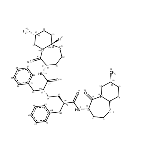 O=C(N[C@H]1CCSC2CC[C@@H](C(F)(F)F)CN2C1=O)[C@H](CC[C@H](Cc1ccccc1)C(=O)N[C@H]1CCS[C@H]2CC[C@@H](C(F)(F)F)CN2C1=O)Cc1ccccc1